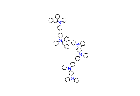 c1ccc(N(c2ccc(-c3ccc(N(c4ccccc4)c4ccc5c(c4)c4ccccc4n5-c4ccc(-c5cccc6c(N(c7ccccc7)c7ccc(-c8ccc(N(c9ccccc9)c9cc%10ccccc%10c%10ccccc9%10)cc8)cc7)cc7ccccc7c56)cc4)cc3)cc2)c2ccc3c(c2)c2ccccc2n3-c2ccccc2)cc1